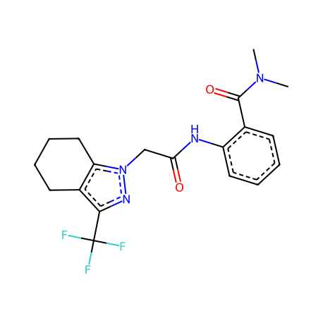 CN(C)C(=O)c1ccccc1NC(=O)Cn1nc(C(F)(F)F)c2c1CCCC2